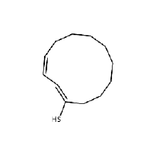 S/C1=C\C=C/CCCCCCCC1